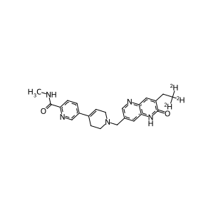 [2H]C([2H])([2H])Cc1cc2ncc(CN3CC=C(c4ccc(C(=O)NC)nc4)CC3)cc2[nH]c1=O